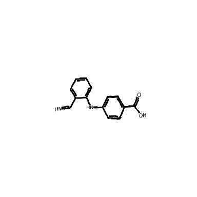 N=Cc1ccccc1Nc1ccc(C(=O)O)cc1